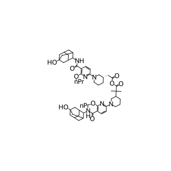 CCCOc1nc(N2CCCC(C(C)(C)C(=O)OC(=O)C[C@@H]3CCCN(c4ccc(C(=O)NC5C6CC7CC5CC(O)(C7)C6)c(OCCC)n4)C3)C2)ccc1C(=O)NC1C2CC3CC1CC(O)(C3)C2